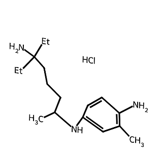 CCC(N)(CC)CCCC(C)Nc1ccc(N)c(C)c1.Cl